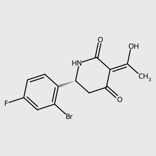 CC(O)=C1C(=O)C[C@H](c2ccc(F)cc2Br)NC1=O